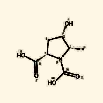 C[C@H]1[C@@H](O)C[C@@H](C(=O)O)N1C(=O)O